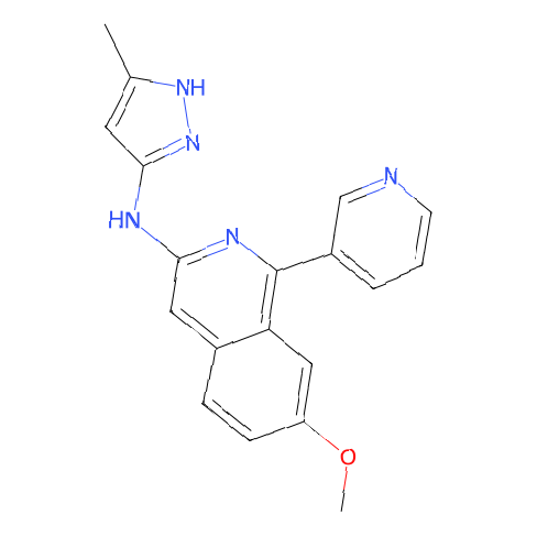 COc1ccc2cc(Nc3cc(C)[nH]n3)nc(-c3cccnc3)c2c1